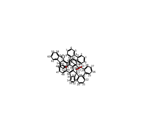 c1ccc(-c2ccccc2N(c2ccc3c(c2)C2(c4ccccc4-c4ccccc4-3)c3ccccc3-c3c2c2ccccc2c2ccccc32)c2cccc3c2oc2ccccc23)cc1